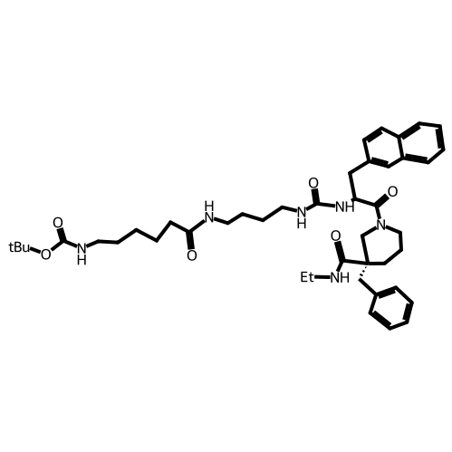 CCNC(=O)[C@]1(Cc2ccccc2)CCCN(C(=O)C(Cc2ccc3ccccc3c2)NC(=O)NCCCCNC(=O)CCCCCNC(=O)OC(C)(C)C)C1